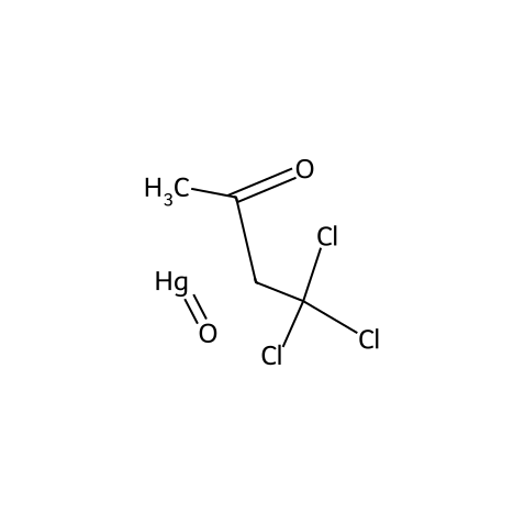 CC(=O)CC(Cl)(Cl)Cl.[O]=[Hg]